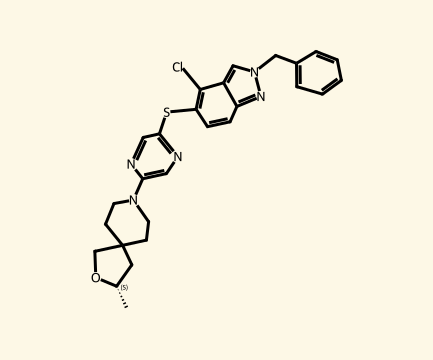 C[C@H]1CC2(CCN(c3cnc(Sc4ccc5nn(Cc6ccccc6)cc5c4Cl)cn3)CC2)CO1